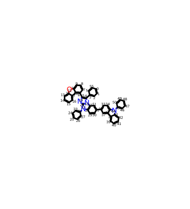 c1ccc(-c2c(-c3cccc4oc5ccccc5c34)nc3n(-c4ccccc4)c4ccc(-c5ccc6c(c5)c5ccccc5n6-c5ccccc5)cc4n23)cc1